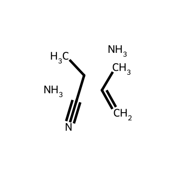 C=CC.CCC#N.N.N